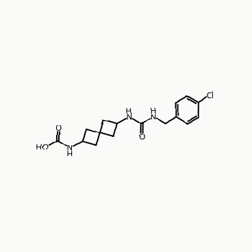 O=C(O)NC1CC2(C1)CC(NC(=O)NCc1ccc(Cl)cc1)C2